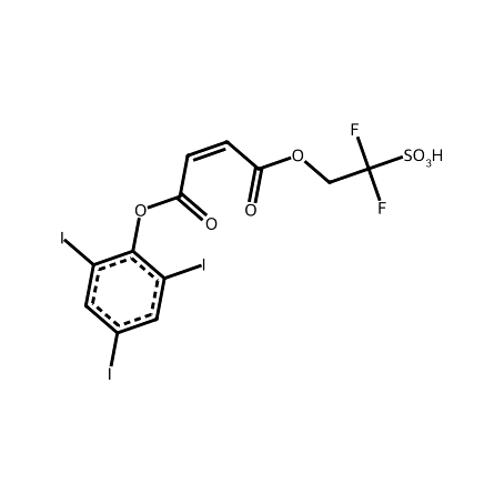 O=C(/C=C\C(=O)Oc1c(I)cc(I)cc1I)OCC(F)(F)S(=O)(=O)O